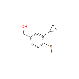 CSc1ccc([CH]O)cc1C1CC1